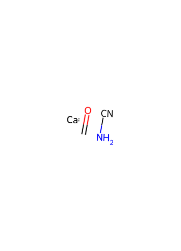 C=O.N#CN.[Ca]